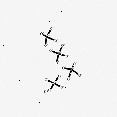 [O-][I+3]([O-])([O-])[O-].[O-][I+3]([O-])([O-])[O-].[O-][I+3]([O-])([O-])[O-].[O-][I+3]([O-])([O-])[O-].[Ru+4]